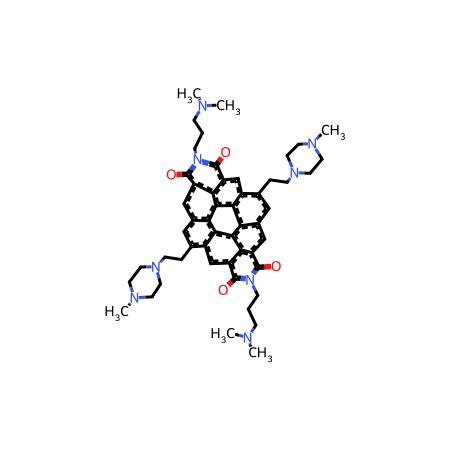 CN(C)CCCn1c(=O)c2cc3cc(CCN4CCN(C)CC4)c4cc5c(=O)n(CCCN(C)C)c(=O)c6cc7cc(CCN8CCN(C)CC8)c8cc(c1=O)c2c1c3c4c(c65)c7c81